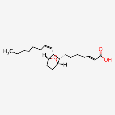 CCCCCC/C=C\[C@@H]1[C@H](CCCC/C=C/C(=O)O)[C@@H]2CC[C@H]1O2